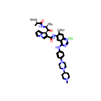 CN[C@@H](C)C(=O)N[C@H](C(=O)[C@H]1C(C(=O)Nc2cc3c(Nc4ccc(N5CCN(C6CCN(C)CC6)CC5)cc4)ncnc3cc2OC)=Cn2cccc21)C(C)(C)C.Cl